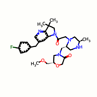 COC[C@@H]1CN(C[C@H]2CN[C@H](C)CN2CC(=O)N2CC(C)(C)c3ncc(Cc4ccc(F)cc4)cc32)C(=O)CO1